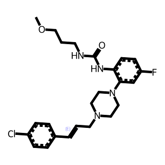 COCCCNC(=O)Nc1ccc(F)cc1N1CCN(C/C=C/c2ccc(Cl)cc2)CC1